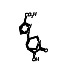 O=C(O)c1ccn(C2=CC3CN(C2)C(=O)N3O)n1